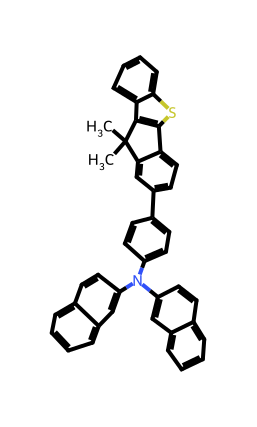 CC1(C)c2cc(-c3ccc(N(c4ccc5ccccc5c4)c4ccc5ccccc5c4)cc3)ccc2-c2sc3ccccc3c21